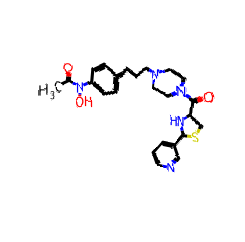 CC(=O)N(O)c1ccc(CCCN2CCN(C(=O)C3CSC(c4cccnc4)N3)CC2)cc1